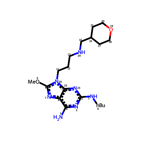 CCCCNc1nc(N)c2nc(OC)n(CCCNCC3CCOCC3)c2n1